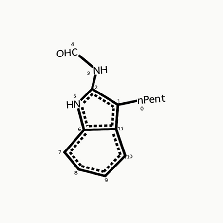 CCCCCc1c(NC=O)[nH]c2ccc[c]c12